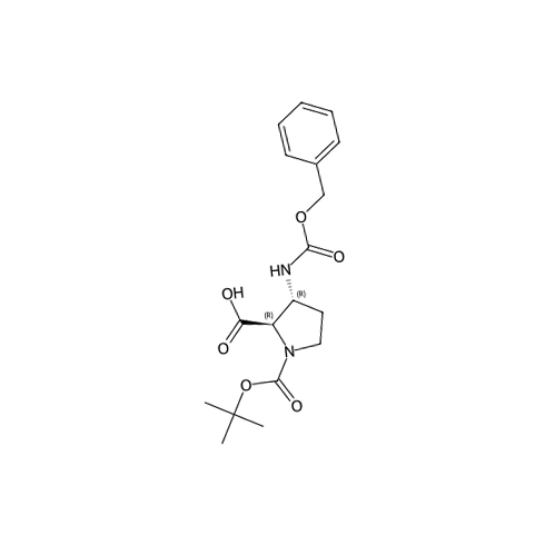 CC(C)(C)OC(=O)N1CC[C@@H](NC(=O)OCc2ccccc2)[C@@H]1C(=O)O